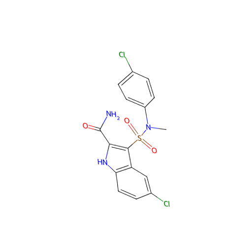 CN(c1ccc(Cl)cc1)S(=O)(=O)c1c(C(N)=O)[nH]c2ccc(Cl)cc12